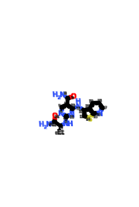 CC[C@@H](Nc1ncc(C(N)=O)c(Nc2csc3ncccc23)n1)C(N)=O